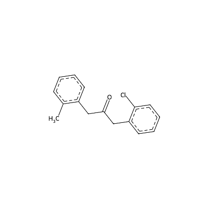 Cc1ccccc1CC(=O)Cc1ccccc1Cl